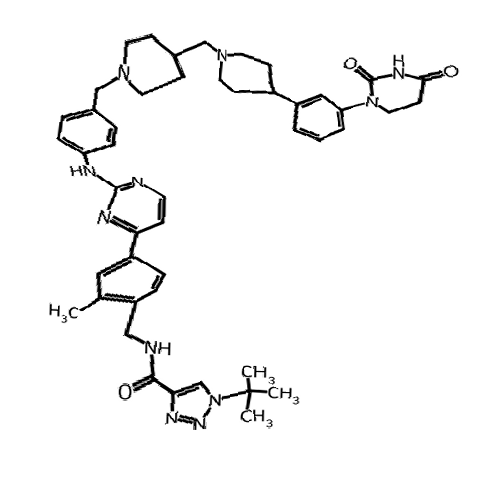 Cc1cc(-c2ccnc(Nc3ccc(CN4CCC(CN5CCC(c6cccc(N7CCC(=O)NC7=O)c6)CC5)CC4)cc3)n2)ccc1CNC(=O)c1cn(C(C)(C)C)nn1